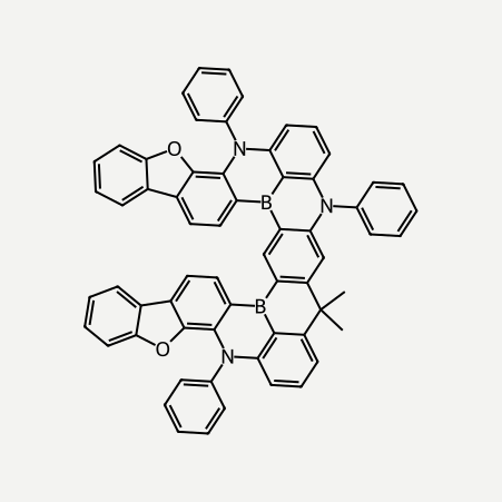 CC1(C)c2cc3c(cc2B2c4ccc5c(oc6ccccc65)c4N(c4ccccc4)c4cccc1c42)B1c2ccc4c(oc5ccccc54)c2N(c2ccccc2)c2cccc(c21)N3c1ccccc1